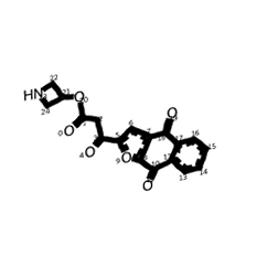 O=C(CC(=O)c1cc2c(o1)C(=O)c1ccccc1C2=O)OC1CNC1